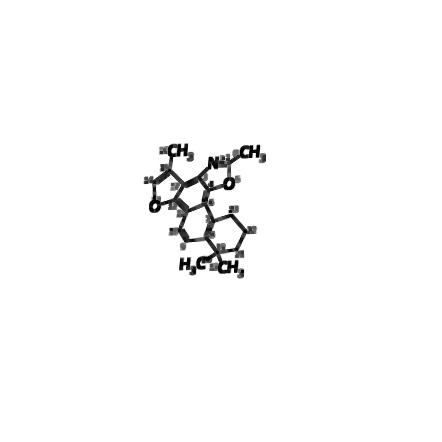 Cc1nc2c(o1)c1c3c(ccc1c1occ(C)c21)C(C)(C)CCC3